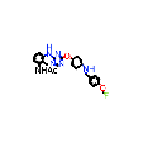 CC(=O)Nc1cccc(Nc2ncnc(OC3CCC(NCc4ccc(OCF)cc4)CC3)n2)c1C